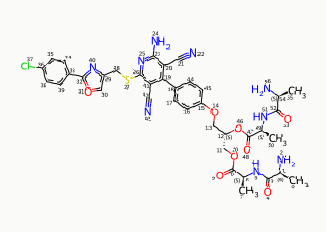 C[C@H](N)C(=O)N[C@@H](C)C(=O)OC[C@H](COc1ccc(-c2c(C#N)c(N)nc(SCc3coc(-c4ccc(Cl)cc4)n3)c2C#N)cc1)OC(=O)[C@H](C)NC(=O)[C@H](C)N